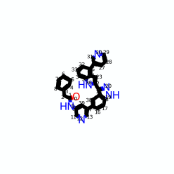 O=C(Cc1ccccc1)Nc1cncc(-c2ccc3[nH]nc(-c4cc5c(-c6cccnc6)cccc5[nH]4)c3c2)c1